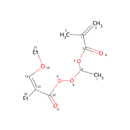 C=C(C)C(=O)OC(C)OOC(=O)C(=COCC)CC